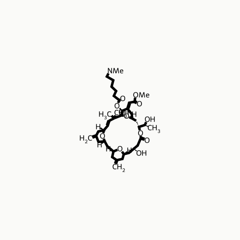 C=C1C[C@@H]2C[C@@H]3CC(=C)C[C@H](/C=C/C(C)(C)[C@]4(O)O[C@@H](C/C(=C\C(=O)OC)[C@@H]4OC(=O)CCCCCNC)C[C@H]([C@@H](C)O)OC(=O)C[C@H](O)C[C@H](C1)O2)O3